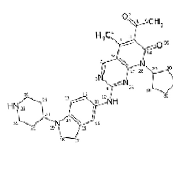 CC(=O)c1c(C)c2cnc(Nc3ccc4c(c3)CCN4C3CCNCC3)nc2n(C2CCCC2)c1=O